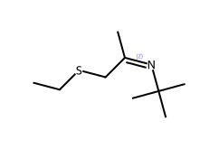 CCSC/C(C)=N\C(C)(C)C